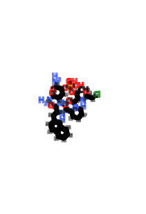 CC(OP(=O)(O)O)C(NC(=O)CCl)C(=O)N1CCCCC1C(=O)NC(Cc1ccc2ccccc2c1)C(=O)NC(CCC(N)=O)C(N)=O